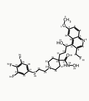 COc1ccc2ncc(CF)c([C@H](O)CCC3(C(=O)NO)CCN(CCSc4cc(F)c(F)c(F)c4)CC3)c2c1